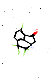 NC12CC(=O)c3c(F)ccc(c31)C(F)(F)C2(F)F